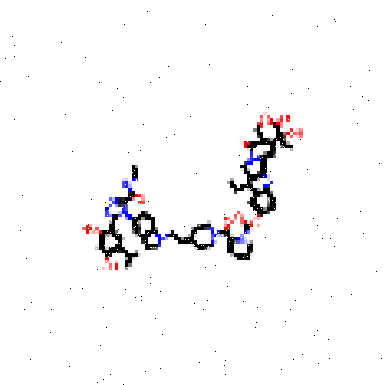 CCNC(=O)c1nnc(-c2cc(C(C)C)c(O)cc2O)n1-c1ccc2c(ccn2CCC2CCN(C(=O)C3CCCCN3C(=O)Oc3ccc4nc5c(c(CC)c4c3)Cn3c-5cc4c(c3=O)COC(=O)[C@]4(O)CC)CC2)c1